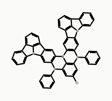 Clc1cc2c3c(c1)N(c1ccccc1)c1cc4c(cc1B3c1cc3c5cccc6c7ccccc7n(c3cc1N2c1ccccc1)c65)c1cccc2c3ccccc3n4c21